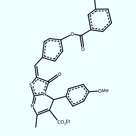 CCOC(=O)C1=C(C)N=c2sc(=Cc3ccc(OC(=O)c4cccc(C)c4)cc3)c(=O)n2C1c1ccc(OC)cc1